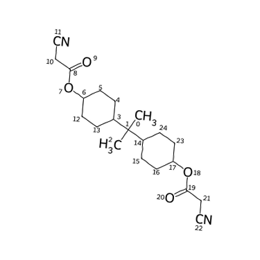 CC(C)(C1CCC(OC(=O)CC#N)CC1)C1CCC(OC(=O)CC#N)CC1